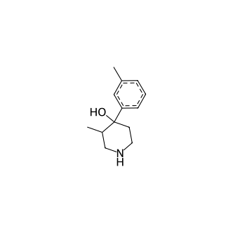 Cc1cccc(C2(O)CCNCC2C)c1